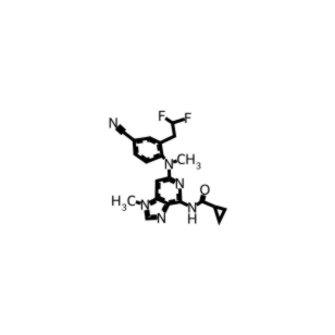 CN(c1cc2c(ncn2C)c(NC(=O)C2CC2)n1)c1ccc(C#N)cc1CC(F)F